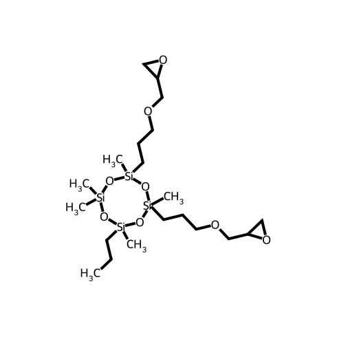 CCC[Si]1(C)O[Si](C)(C)O[Si](C)(CCCOCC2CO2)O[Si](C)(CCCOCC2CO2)O1